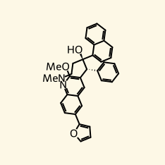 CNCC[C@](O)(c1cccc2ccccc12)[C@H](c1ccccc1)c1cc2cc(-c3ccco3)ccc2nc1OC